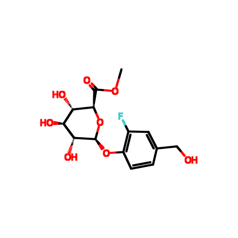 COC(=O)[C@H]1O[C@@H](Oc2ccc(CO)cc2F)[C@H](O)[C@@H](O)[C@@H]1O